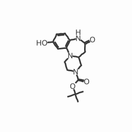 CC(C)(C)OC(=O)N1CCN2c3cc(O)ccc3NC(=O)CC2C1